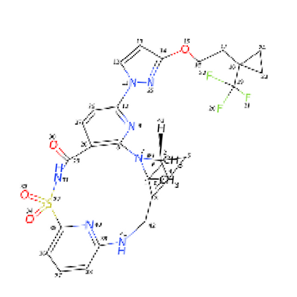 CC1(C)C2=C3C[C@H]3N1c1nc(-n3ccc(OCCC4(C(F)(F)F)CC4)n3)ccc1C(=O)NS(=O)(=O)c1cccc(n1)NC2